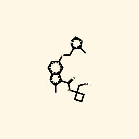 Cc1ncsc1COc1ccc2oc(C)c(C(=O)NC3(CN)CCC3)c2c1